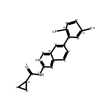 O=C(Nc1cc2ccc(-c3cc(F)ccc3F)cc2cn1)C1CC1